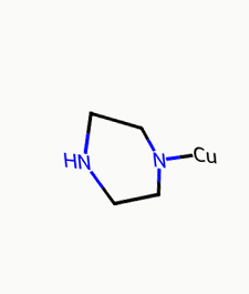 [Cu][N]1CCNCC1